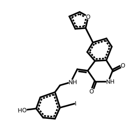 O=C1NC(=O)c2ccc(-c3ccco3)cc2C1=CNCc1cc(O)ccc1I